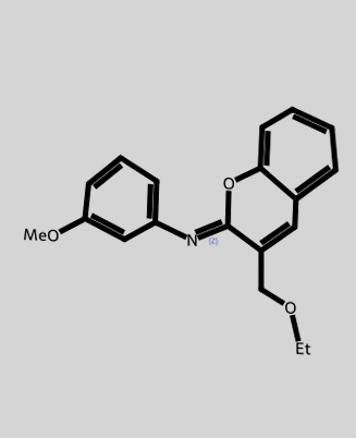 CCOCc1cc2ccccc2o/c1=N\c1cccc(OC)c1